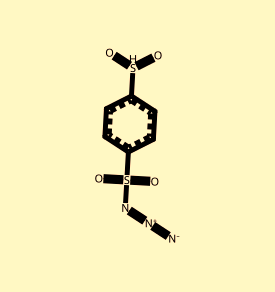 [N-]=[N+]=NS(=O)(=O)c1ccc([SH](=O)=O)cc1